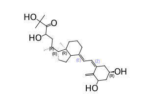 C=C1/C(=C\C=C2/CCC[C@@]3(C)C2CC[C@@H]3[C@H](C)CC(O)C(=O)C(C)(C)O)C[C@@H](O)CC1O